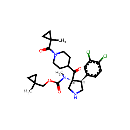 CN(C(=O)OCC1(C)CC1)[C@@]1(C(=O)C2CCN(C(=O)C3(C)CC3)CC2)CNC[C@@H]1c1ccc(Cl)c(Cl)c1